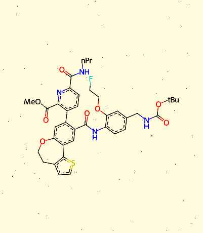 CCCNC(=O)c1ccc(-c2cc3c(cc2C(=O)Nc2ccc(CNC(=O)OC(C)(C)C)cc2OCCF)-c2sccc2CCO3)c(C(=O)OC)n1